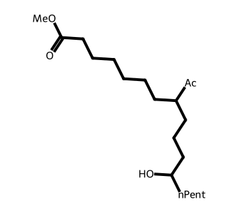 CCCCCC(O)CCCC(CCCCCCC(=O)OC)C(C)=O